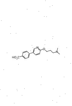 CN(C)CCCOc1ccc(-c2ccc(C(=O)O)cc2)cn1